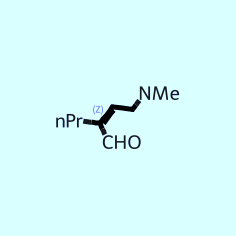 CCC/C(C=O)=C/CNC